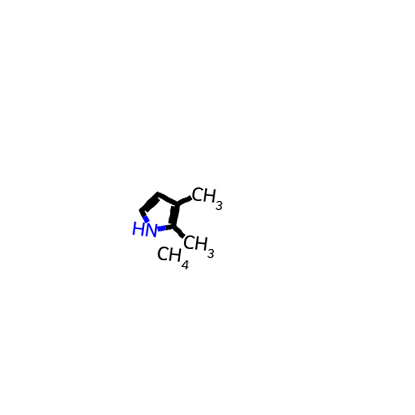 C.Cc1cc[nH]c1C